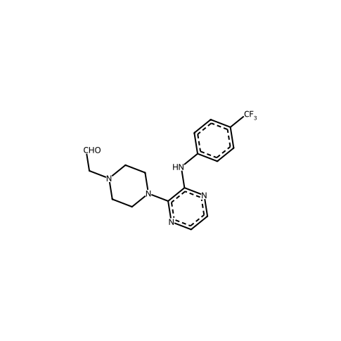 O=CCN1CCN(c2nccnc2Nc2ccc(C(F)(F)F)cc2)CC1